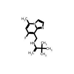 C=C(NCc1c(F)cc(C)n2ccnc12)C(C)(C)C